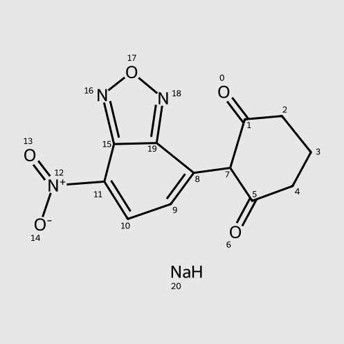 O=C1CCCC(=O)C1c1ccc([N+](=O)[O-])c2nonc12.[NaH]